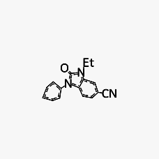 CCn1c(=O)n(-c2ccccc2)c2ccc(C#N)cc21